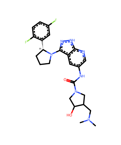 CN(C)CC1CN(C(=O)Nc2cnc3[nH]nc(N4CCC[C@@H]4c4cc(F)ccc4F)c3c2)CC1O